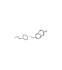 CCC[C@H]1CC[C@H](CCc2ccc3cc(F)ccc3c2)CC1